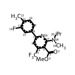 COC(=O)c1c(C(F)(F)F)cc(-c2ccc(C)c(F)c2)nc1N(C)C(C)C